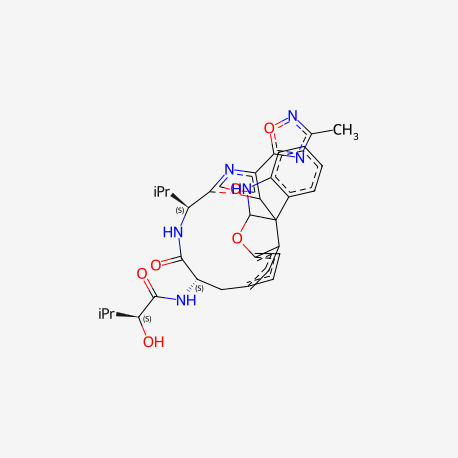 Cc1noc(-c2nc3oc2C24c5ccccc5NC2Oc2ccc(cc24)C[C@H](NC(=O)[C@@H](O)C(C)C)C(=O)N[C@H]3C(C)C)n1